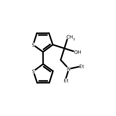 CCN(CC)CC(C)(O)c1ccsc1-c1cccs1